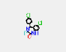 O=C1Nc2ccc(Cl)cc2C(c2ccc(Cl)cc2)=NC1F